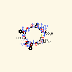 CC[C@H](C)[C@H](NC(C)=O)C(=O)N[C@H]1CSSC[C@@H](C(=O)N[C@@H](C(=O)O)[C@@H](C)O)NC(=O)[C@H](CCNC(=N)N)NC(=O)[C@@H](Cc2cnc[nH]2)NC(=O)[C@H](C)NC(=O)CNC(=O)[C@H](Cc2c[nH]c3ccccc23)NC(=O)[C@@H](CC(=O)O)NC(=O)[C@H](CCC(N)=O)NC(=O)[C@@H](Cc2c[nH]c3ccccc23)NC(=O)[C@H](C(C)C)NC1=O